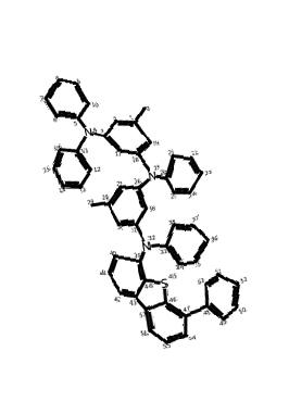 Cc1cc(N(c2ccccc2)c2ccccc2)cc(N(c2ccccc2)c2cc(C)cc(N(c3ccccc3)c3cccc4c3sc3c(-c5ccccc5)cccc34)c2)c1